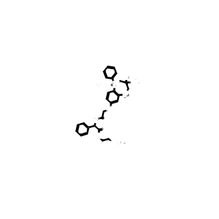 CCCCC1(CCCC)C[N+](SC)(c2ccccc2)c2ccc(OCC(=O)NC(C(=O)N[C@@H](CSC)C(=O)O)c3ccccc3)cc2S(=O)(=O)C1